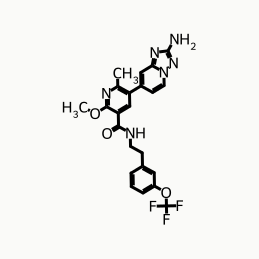 COc1nc(C)c(-c2ccn3nc(N)nc3c2)cc1C(=O)NCCc1cccc(OC(F)(F)F)c1